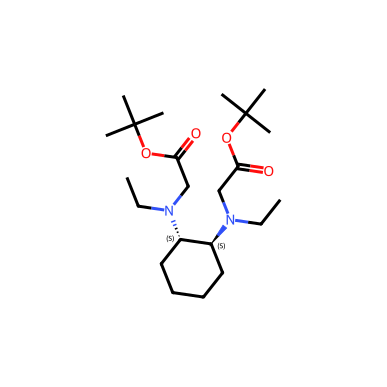 CCN(CC(=O)OC(C)(C)C)[C@H]1CCCC[C@@H]1N(CC)CC(=O)OC(C)(C)C